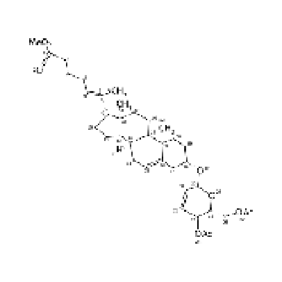 COC(=O)CCC/C=C(\C)[C@H]1CCC2[C@@H]3CC=C4C[C@@H](OC5C=C[C@H](OC(C)=O)[C@@H](COC(C)=O)O5)CC[C@]4(C)C3CC[C@@]21C